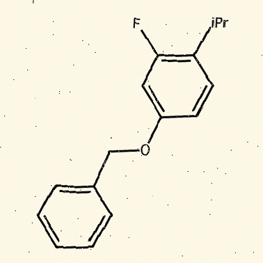 CC(C)c1ccc(OCc2ccccc2)cc1F